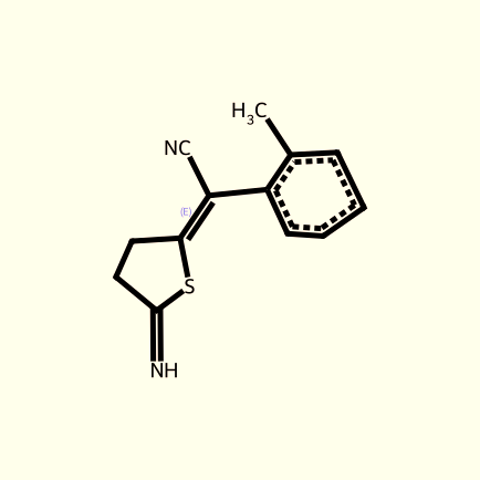 Cc1ccccc1/C(C#N)=C1/CCC(=N)S1